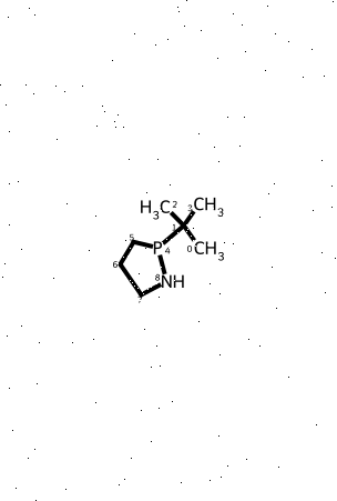 CC(C)(C)P1CCCN1